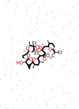 CC[C@@H](C(=O)[C@@H](C)[C@@H](O)[C@H](C)[C@@H]1O[C@@H]([C@@H](CC)C(=O)O)CC[C@@H]1C)[C@H]1O[C@@]2(O[C@@]3(CC[C@@](C)([C@H]4CC[C@](O)(CC)[C@H](C)O4)O3)[C@H](O)C3CC32)[C@H](C)C[C@@H]1C